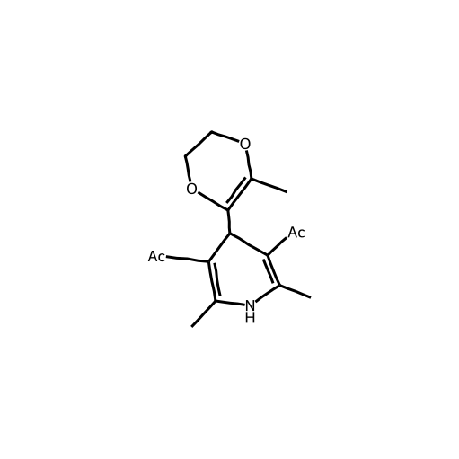 CC(=O)C1=C(C)NC(C)=C(C(C)=O)C1C1=C(C)OCCO1